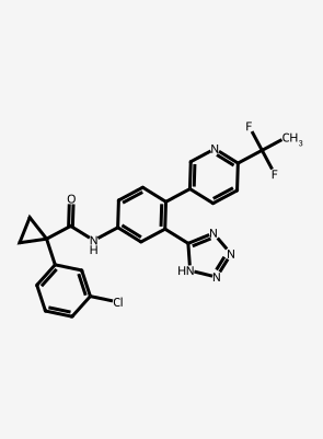 CC(F)(F)c1ccc(-c2ccc(NC(=O)C3(c4cccc(Cl)c4)CC3)cc2-c2nnn[nH]2)cn1